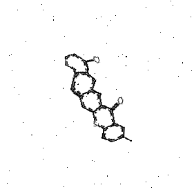 Cc1ccc2sc3cc4cc5cccc(Cl)c5cc4cc3c(=O)c2c1